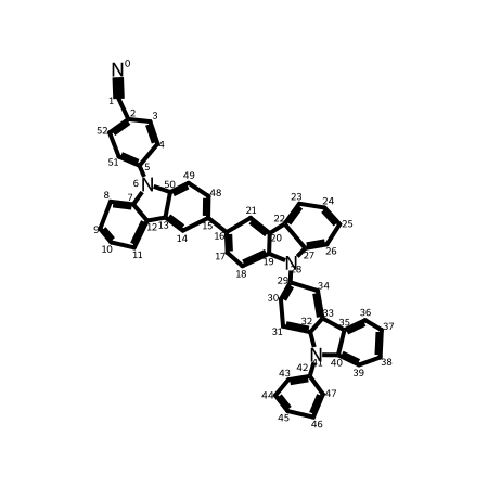 N#Cc1ccc(-n2c3ccccc3c3cc(-c4ccc5c(c4)c4ccccc4n5-c4ccc5c(c4)c4ccccc4n5-c4ccccc4)ccc32)cc1